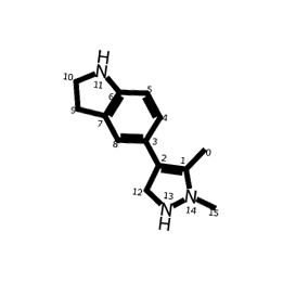 CC1=C(c2ccc3c(c2)CCN3)CNN1C